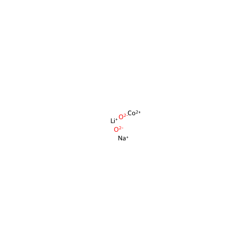 [Co+2].[Li+].[Na+].[O-2].[O-2]